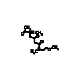 COCCN(C)C(=O)CC(CNC(C)=O)OC